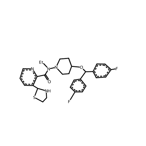 CCN(C(=O)c1ncccc1C1NCCS1)N1CCC(OC(c2ccc(F)cc2)c2ccc(F)cc2)CC1